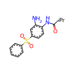 CC(C)C(=O)Nc1ccc(S(=O)(=O)c2ccccc2)cc1N